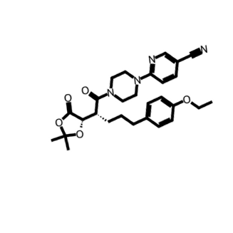 CCOc1ccc(CCC[C@@H](C(=O)N2CCN(c3ccc(C#N)cn3)CC2)[C@@H]2OC(C)(C)OC2=O)cc1